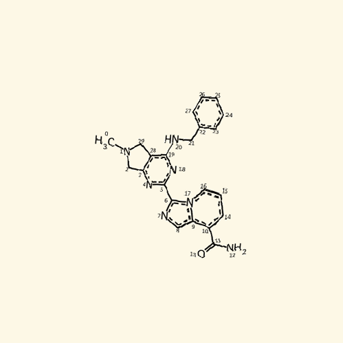 CN1Cc2nc(-c3ncc4c(C(N)=O)cccn34)nc(NCc3ccccc3)c2C1